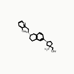 COc1cccnc1CC[C@H]1CCc2cc([C@H]3CC[C@](N)(CO)C3)ccc2C1